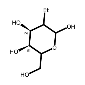 CCC1C(O)OC(CO)[C@@H](O)[C@H]1O